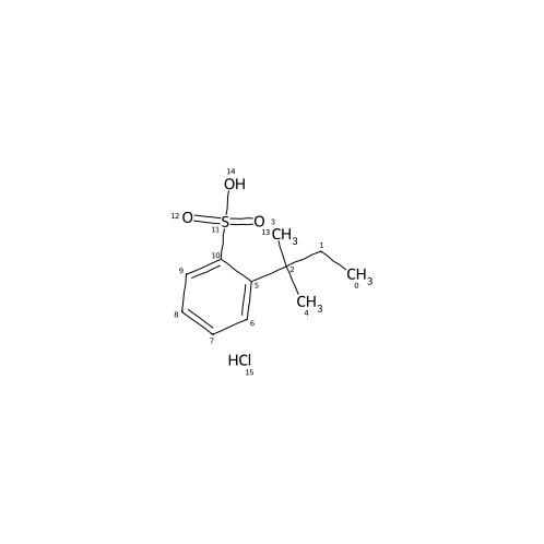 CCC(C)(C)c1ccccc1S(=O)(=O)O.Cl